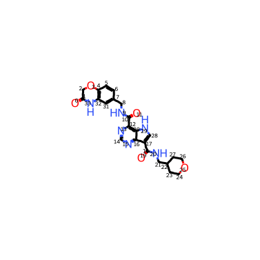 O=C1COc2ccc(CNC(=O)c3ncnc4c(C(=O)NCC5CCOCC5)c[nH]c34)cc2N1